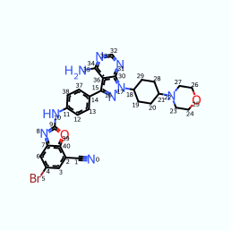 N#Cc1cc(Br)cc2nc(Nc3ccc(-c4nn(C5CCC(N6CCOCC6)CC5)c5ncnc(N)c45)cc3)oc12